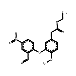 CCOC(=O)Cc1ccc(OC)c(Oc2ccc([N+](=O)[O-])cc2C=O)c1